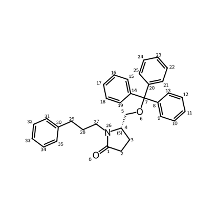 O=C1CC[C@@H](COC(c2ccccc2)(c2ccccc2)c2ccccc2)N1CCCc1ccccc1